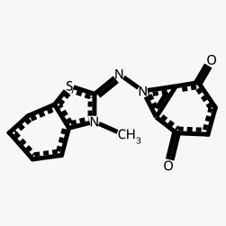 Cn1c(=Nn2c3c(=O)ccc(=O)c2=3)sc2ccccc21